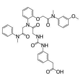 COc1cccc(N(C)C(=O)COc2ccccc2N(CC(=O)N(C)c2ccccc2)C(=O)CNC(=O)Nc2cccc(CC(=O)O)c2)c1